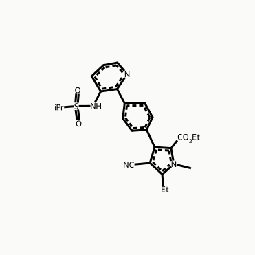 CCOC(=O)c1c(-c2ccc(-c3ncccc3NS(=O)(=O)C(C)C)cc2)c(C#N)c(CC)n1C